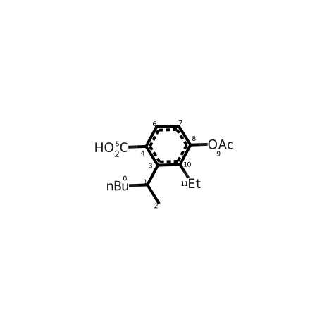 CCCCC(C)c1c(C(=O)O)ccc(OC(C)=O)c1CC